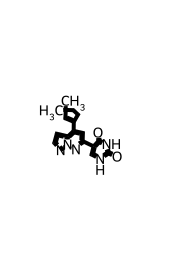 CC1(C)C=C(c2cc(-c3c[nH]c(=O)[nH]c3=O)nn3nccc23)CC1